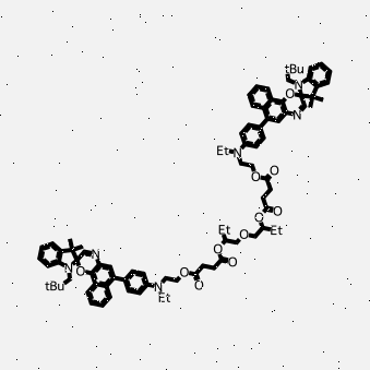 CCC(COCC(CC)OC(=O)CCC(=O)OCCN(CC)c1ccc(-c2cc3c(c4ccccc24)OC2(C=N3)N(CC(C)(C)C)c3ccccc3C2(C)C)cc1)OC(=O)CCC(=O)OCCN(CC)c1ccc(-c2cc3c(c4ccccc24)OC2(C=N3)N(CC(C)(C)C)c3ccccc3C2(C)C)cc1